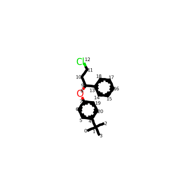 CC(C)(C)c1ccc(OC(CCCl)c2ccccc2)cc1